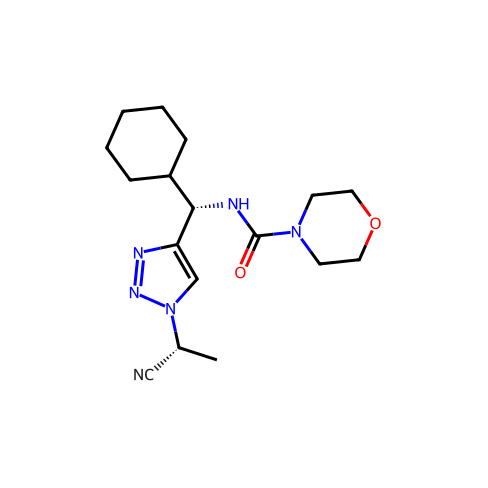 C[C@H](C#N)n1cc([C@@H](NC(=O)N2CCOCC2)C2CCCCC2)nn1